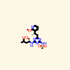 COc1ncccc1[C@@H](C)Cc1nc(N[C@@H](CO)CC(C)C)nc(NS(C)(=O)=O)n1